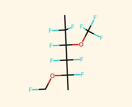 CC(F)(F)C(F)(OC(F)(F)F)C(F)(F)C(C)(F)OCF